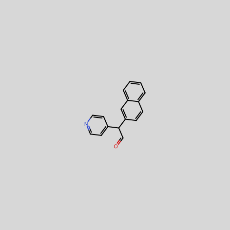 O=CC(c1ccncc1)c1ccc2ccccc2c1